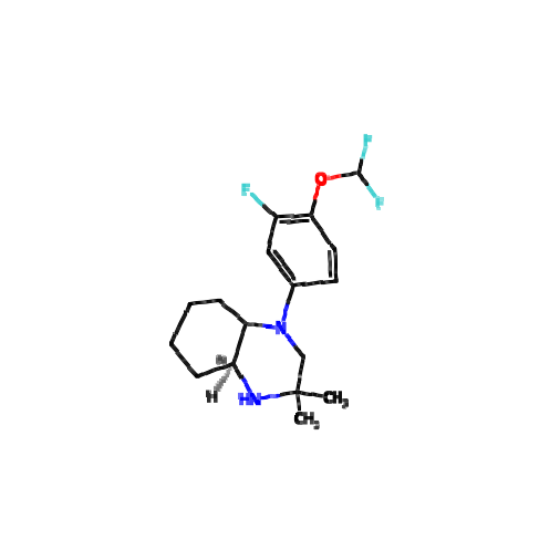 CC1(C)CN(c2ccc(OC(F)F)c(F)c2)C2CCCC[C@@H]2N1